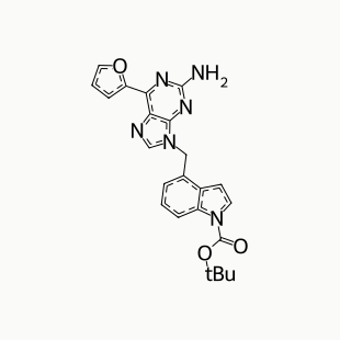 CC(C)(C)OC(=O)n1ccc2c(Cn3cnc4c(-c5ccco5)nc(N)nc43)cccc21